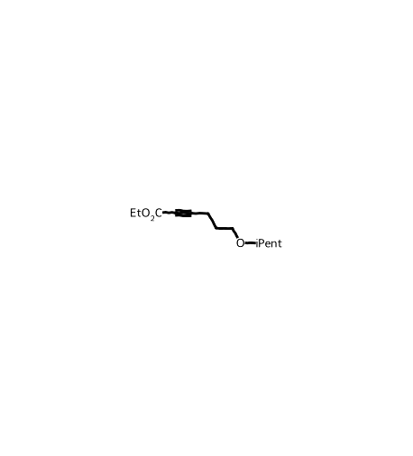 [CH2]CCC(C)OCCCC#CC(=O)OCC